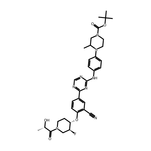 CC1CN(C(=O)OC(C)(C)C)CCN1c1ccc(Nc2ncnc(-c3ccc(O[C@H]4CCN(C(=O)[C@H](C)O)C[C@@H]4F)c(C#N)c3)n2)cc1